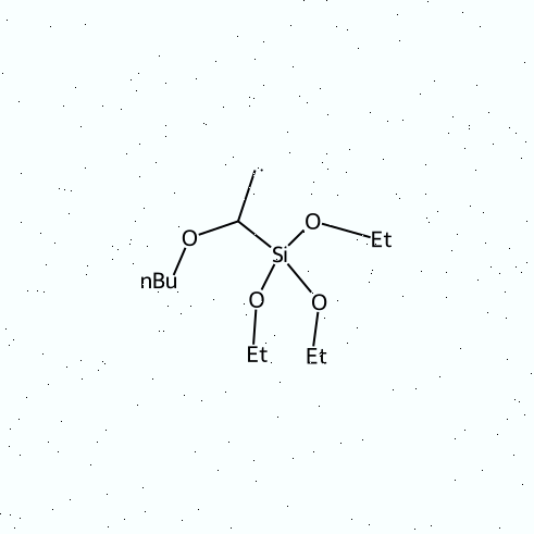 [CH2]C(OCCCC)[Si](OCC)(OCC)OCC